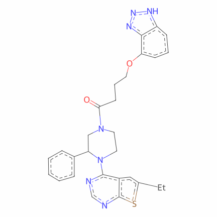 CCc1cc2c(N3CCN(C(=O)CCCOc4cccc5[nH]nnc45)CC3c3ccccc3)ncnc2s1